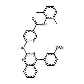 COc1cccc(-c2nc(Nc3ccc(C(=O)Nc4c(C)cccc4C)cc3)nc3ccccc23)c1